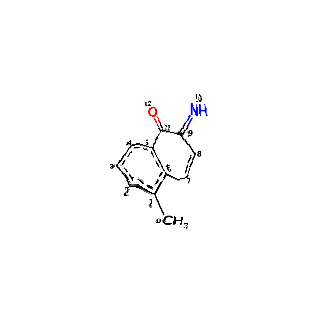 Cc1cccc2c1C=CC(=N)C2=O